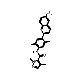 Cc1cc(-c2ccc3cc(C(F)(F)F)ccc3n2)c(C)cc1NC(=O)c1c(C)cnn1C